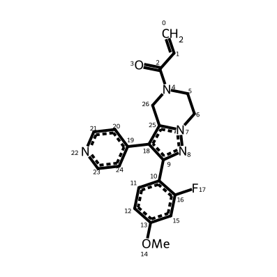 C=CC(=O)N1CCn2nc(-c3ccc(OC)cc3F)c(-c3ccncc3)c2C1